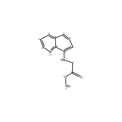 CC(C)(C)OC(=O)CNc1cccc2cccnc12